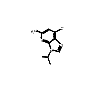 CC(C)n1cnc2c(Cl)cc(N)nc21